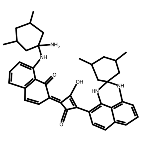 CC1CC(C)CC(N)(Nc2cccc3c2C(=O)/C(=C2/C(=O)C(c4ccc5cccc6c5c4NC4(CC(C)CC(C)C4)N6)=C2O)C=C3)C1